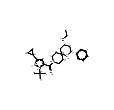 CCO[C@@H]1C[C@H](c2ccccc2)OC2(CCN(C(=O)c3cc(C4CC4)nn3C(C)(C)C)CC2)C1